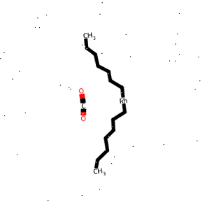 CCCCCC[CH2][Rh][CH2]CCCCCC.O=C=O